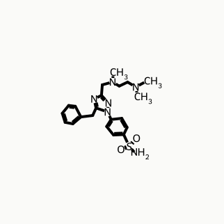 CN(C)CCN(C)Cc1nc(Cc2ccccc2)n(-c2ccc(S(N)(=O)=O)cc2)n1